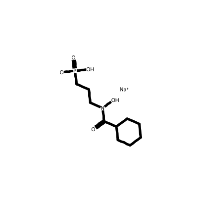 O=C(C1CCCCC1)N(O)CCCP(=O)([O-])O.[Na+]